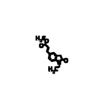 CCN1C(=O)Cc2cc(C=CC(=O)OC)ccc21